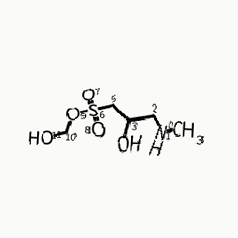 CNCC(O)CS(=O)(=O)OCO